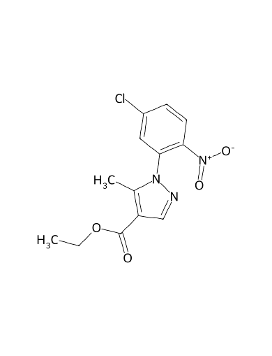 CCOC(=O)c1cnn(-c2cc(Cl)ccc2[N+](=O)[O-])c1C